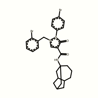 O=C(NC12CCCC3CC(CC3C1)C2)c1cn(Cc2ccccc2Br)n(-c2ccc(Br)cc2)c1=O